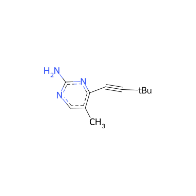 Cc1cnc(N)nc1C#CC(C)(C)C